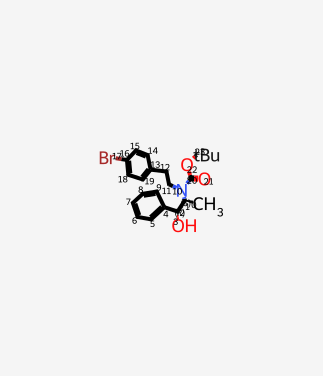 C[C@@H]([C@H](O)c1ccccc1)N(CCc1ccc(Br)cc1)C(=O)OC(C)(C)C